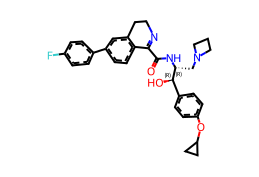 O=C(N[C@H](CN1CCC1)[C@H](O)c1ccc(OC2CC2)cc1)C1=NCCc2cc(-c3ccc(F)cc3)ccc21